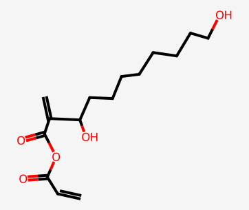 C=CC(=O)OC(=O)C(=C)C(O)CCCCCCCCO